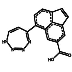 O=C(O)c1cc2c3c(ccc(C4=NN=NNC=C4)c3c1)C=C2